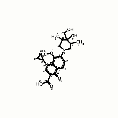 COc1c(N2CC(C)C(O)(CO)C(C)C2)ccc2c(=O)c(C(=O)O)cn(C3CC3)c12